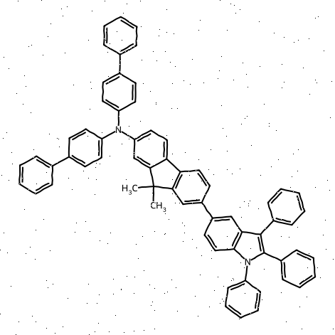 CC1(C)c2cc(-c3ccc4c(c3)c(-c3ccccc3)c(-c3ccccc3)n4-c3ccccc3)ccc2-c2ccc(N(c3ccc(-c4ccccc4)cc3)c3ccc(-c4ccccc4)cc3)cc21